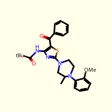 COc1ccccc1N1CCN(c2nc(NC(=O)C(C)(C)C)c(C(=O)c3ccccc3)s2)CC1C